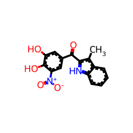 Cc1c(C(=O)c2cc(O)c(O)c([N+](=O)[O-])c2)[nH]c2ccccc12